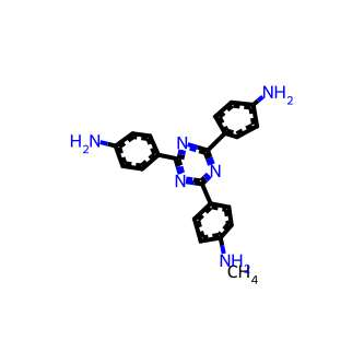 C.Nc1ccc(-c2nc(-c3ccc(N)cc3)nc(-c3ccc(N)cc3)n2)cc1